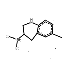 CC[SiH](CC)C1CNc2ccc(C)cc2C1